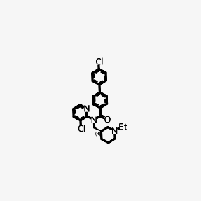 CCN1CCC[C@@H](CN(C(=O)c2ccc(-c3ccc(Cl)cc3)cc2)c2ncccc2Cl)C1